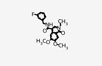 CCn1cc(C(=O)NCc2cccc(F)c2)c2cc(OC)c(OC)cc2c1=O